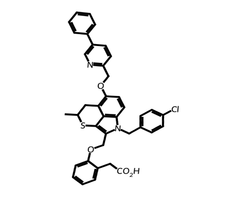 CC1Cc2c(OCc3ccc(-c4ccccc4)cn3)ccc3c2c(c(COc2ccccc2CC(=O)O)n3Cc2ccc(Cl)cc2)S1